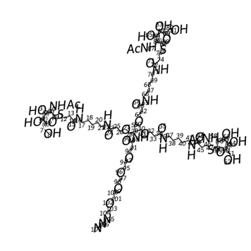 CC(=O)N[C@@H]1[C@@H](O)[C@@H](O)[C@@H](CO)O[C@H]1SCCC(=O)NCCCCCNC(=O)CCOCC(COCCC(=O)NCCCCCNC(=O)CCS[C@@H]1O[C@H](CO)[C@H](O)[C@H](O)[C@H]1NC(C)=O)(COCCC(=O)NCCCCCNC(=O)CCS[C@@H]1O[C@H](CO)[C@H](O)[C@H](O)[C@H]1NC(C)=O)NC(=O)CCOCCOCCOCCOCCN=[N+]=[N-]